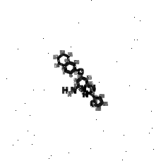 Nc1cc(Oc2ccc3c(c2)CCCC3)cc2nc(-c3ccco3)nn12